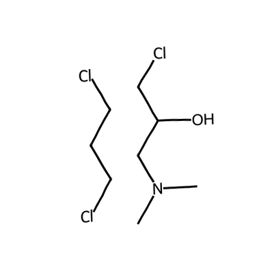 CN(C)CC(O)CCl.ClCCCCl